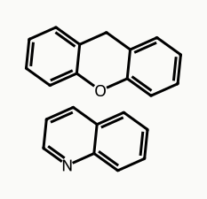 c1ccc2c(c1)Cc1ccccc1O2.c1ccc2ncccc2c1